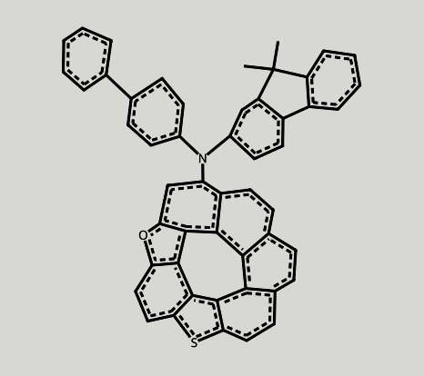 CC1(C)c2ccccc2-c2ccc(N(c3ccc(-c4ccccc4)cc3)c3cc4oc5ccc6sc7ccc8ccc9ccc3c3c9c8c7c6c5c43)cc21